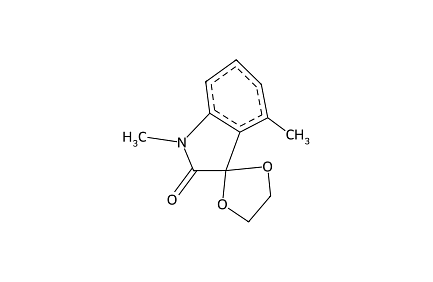 Cc1cccc2c1C1(OCCO1)C(=O)N2C